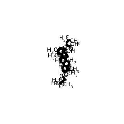 CC1=CC[C@]2(C(O)N[C@@H](CC(C)C)C(=O)O)CC[C@]3(C)[C@H](CC[C@@H]4[C@@]5(C)CC[C@H](OC(=O)CC(C)(C)C(=O)O)C(C)(C)[C@@H]5CC[C@]43C)[C@H]2[C@@H]1C